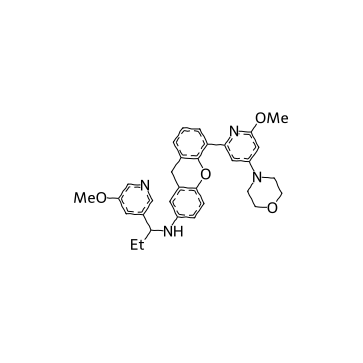 CCC(Nc1ccc2c(c1)Cc1cccc(-c3cc(N4CCOCC4)cc(OC)n3)c1O2)c1cncc(OC)c1